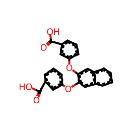 O=C(O)c1cccc(Oc2cc3ccccc3cc2Oc2cccc(C(=O)O)c2)c1